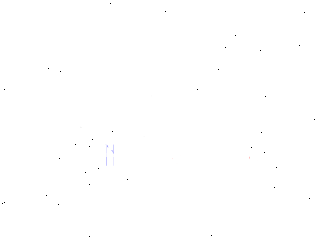 O=C1NC(=S)CCC1Cc1ccoc1